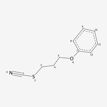 N#CSCCCOc1ccccc1